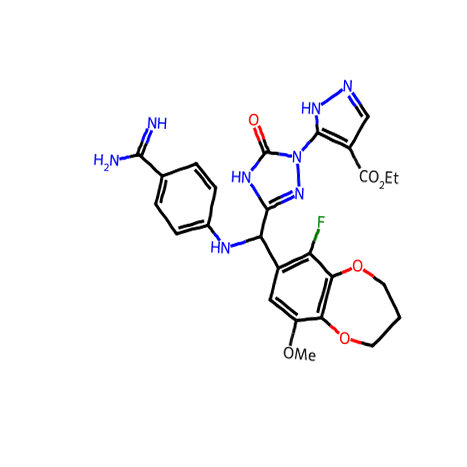 CCOC(=O)c1cn[nH]c1-n1nc(C(Nc2ccc(C(=N)N)cc2)c2cc(OC)c3c(c2F)OCCCO3)[nH]c1=O